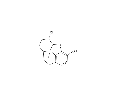 CC12c3c4ccc(O)c3OC1C(O)CCC2CC4